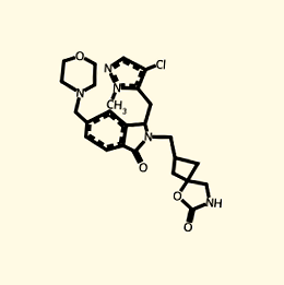 Cn1ncc(Cl)c1CC1c2cc(CN3CCOCC3)ccc2C(=O)N1CC1CC2(CNC(=O)O2)C1